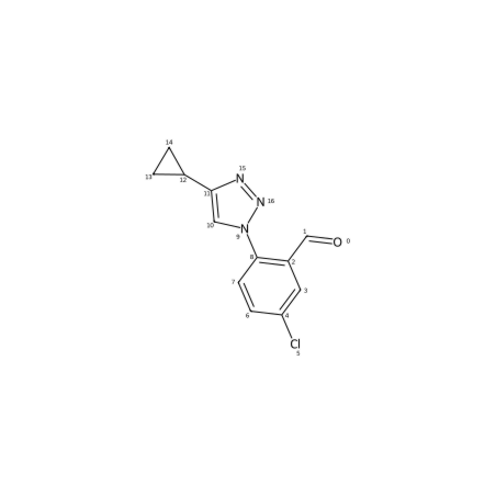 O=Cc1cc(Cl)ccc1-n1cc(C2CC2)nn1